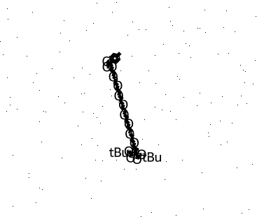 Cc1ccc(S(=O)(=O)OCCOCCOCCOCCOCCOCCOCCOCCOCCN(C(=O)OC(C)(C)C)C(=O)OC(C)(C)C)cc1